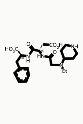 CCN(CC(=O)N[C@@H](CC(=O)O)C(=O)N[C@@H](Cc1ccccc1)C(=O)O)C1CCNCC1